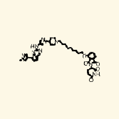 Cn1cc(-c2ccc3cnc(Nc4cnn(C5CCN(CCCCCCCCCOc6cccc7c6C(=O)N(C6CCC(=O)NC6=O)C7=O)CC5)c4)nn23)cn1